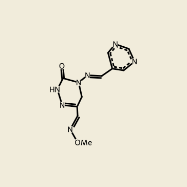 CON=CC1=NNC(=O)N(N=Cc2cncnc2)C1